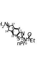 CCCN(C(=O)CC)c1nc2cc3c(cc2s1)CC(N)C3